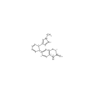 Cn1cc(C2C=CC=CC2c2ccc3c(c2)CCC(=O)N3)cn1